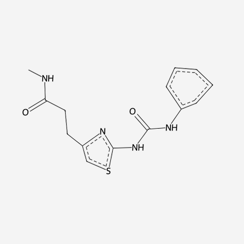 CNC(=O)CCc1csc(NC(=O)Nc2ccccc2)n1